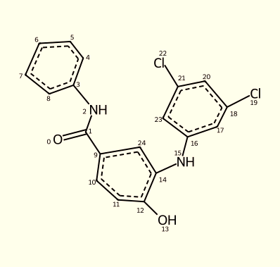 O=C(Nc1ccccc1)c1ccc(O)c(Nc2cc(Cl)cc(Cl)c2)c1